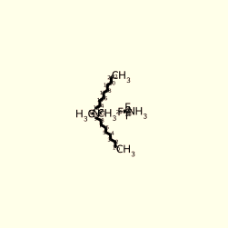 CCCCCCCCCC[N+](C)(C)CCCCCCCCCC.FC(F)F.N